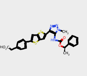 C[C@@H](OC(=O)Nc1c(-c2cc3sc(-c4ccc(CC(=O)O)cc4)cc3s2)nnn1C)c1ccccc1